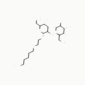 CSCCCCCOCCO[C@H]1OC(CO)[C@H](O)[C@H](O[C@@H]2OC(CO)[C@H](O)[C@H](O)C2O)C1NC(C)=O